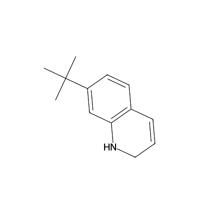 CC(C)(C)c1ccc2c(c1)NCC=C2